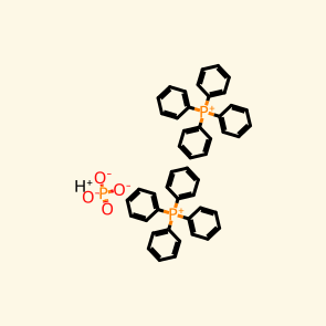 O=P([O-])([O-])[O-].[H+].c1ccc([P+](c2ccccc2)(c2ccccc2)c2ccccc2)cc1.c1ccc([P+](c2ccccc2)(c2ccccc2)c2ccccc2)cc1